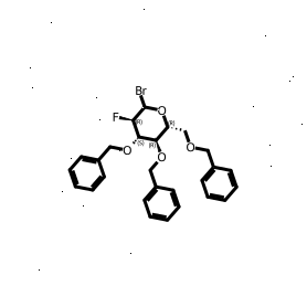 F[C@H]1C(Br)O[C@H](COCc2ccccc2)[C@@H](OCc2ccccc2)[C@@H]1OCc1ccccc1